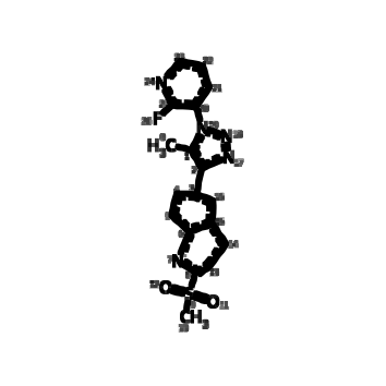 Cc1c(-c2ccc3nc(S(C)(=O)=O)ccc3c2)nnn1-c1cccnc1F